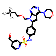 C[Si](C)(C)CCOCn1c(-c2ccc(NS(=O)(=O)c3cc(C=O)ccn3)cc2)cc2c(N3CCOCC3)ncnc21